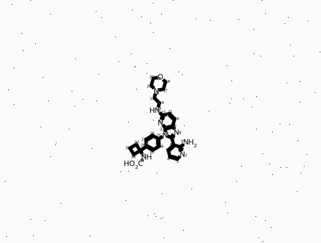 Nc1ncccc1-c1nc2ccc(NCCN3CCOCC3)nc2n1-c1ccc(C2(NC(=O)O)CCC2)cc1